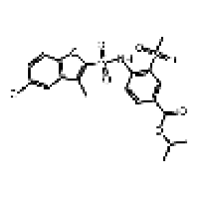 Cc1c(S(=O)(=O)Nc2ccc(C(=O)OC(C)C)cc2S(C)(=O)=O)sc2ccc(Cl)cc12